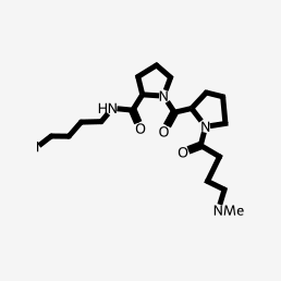 CNCCCC(=O)N1CCCC1C(=O)N1CCCC1C(=O)NCCCCI